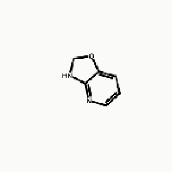 [CH]1Nc2ncccc2O1